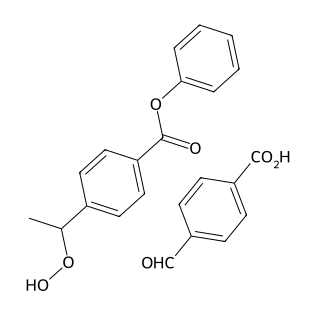 CC(OO)c1ccc(C(=O)Oc2ccccc2)cc1.O=Cc1ccc(C(=O)O)cc1